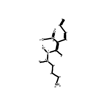 C=C/C=C\C(=C(/C)[S+]([O-])N(C)CCCN)[N+](=O)[O-]